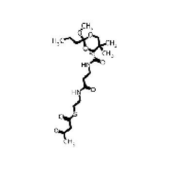 CCCC1(OC)OCC(C)(C)[C@H](C(=O)NCCC(=O)NCCSC(=O)CC(C)=O)O1